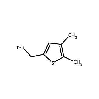 Cc1cc(CC(C)(C)C)sc1C